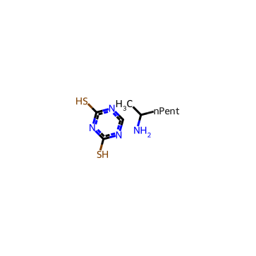 CCCCCC(C)N.Sc1ncnc(S)n1